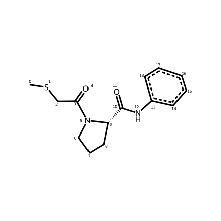 CSCC(=O)N1CCC[C@H]1C(=O)Nc1ccccc1